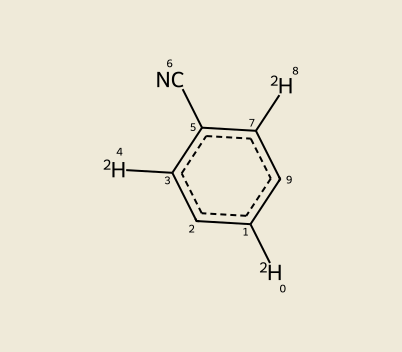 [2H]c1cc([2H])c(C#N)c([2H])c1